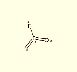 C=P(=O)F